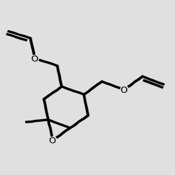 C=COCC1CC2OC2(C)CC1COC=C